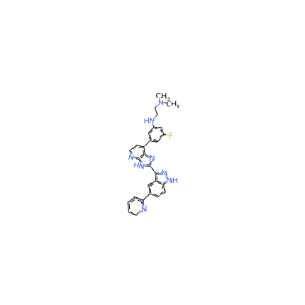 CN(C)CCNc1cc(F)cc(-c2ccnc3[nH]c(-c4n[nH]c5ccc(-c6ccccn6)cc45)nc23)c1